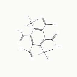 CC(C)(C)c1c(C(=O)O)c(C(=O)O)c(C(C)(C)C)c(C(=O)O)c1C(=O)O